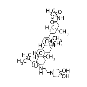 C=C(C)[C@@H]1CC[C@]2(NCCN3CCS(O)(O)CC3)CC[C@]3(C)[C@H](CC[C@@H]4[C@@]5(C)CC=C(CCC(C)(C)CC(=O)NS(C)(=O)=O)C(C)(C)[C@@H]5CC[C@]43C)[C@@H]12